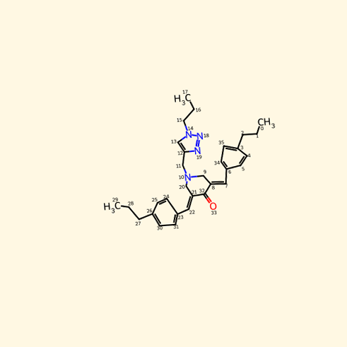 CCCc1ccc(C=C2CN(Cc3cn(CCC)nn3)CC(=Cc3ccc(CCC)cc3)C2=O)cc1